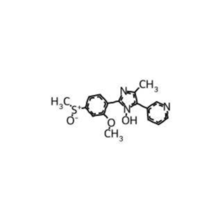 COc1cc([S+](C)[O-])ccc1-c1nc(C)c(-c2cccnc2)n1O